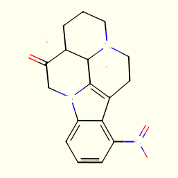 O=C1Cn2c3c(c4c([N+](=O)[O-])cccc42)CCN2CCC[C@H]1[C@H]32